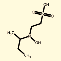 CCC(C)N(O)CCS(=O)(=O)O